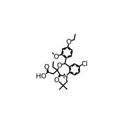 CCOc1ccc(C2OC(CC)(CC(=O)O)C(=O)N(CC(C)(C)C)c3ccc(Cl)cc32)c(OC)c1